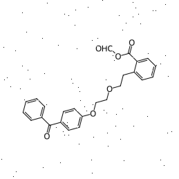 O=COC(=O)c1ccccc1CCOCCOc1ccc(C(=O)c2ccccc2)cc1